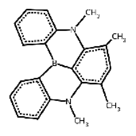 Cc1cc(C)c2c3c1N(C)c1ccccc1B3c1ccccc1N2C